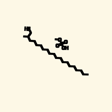 CCCCCCCCCCCCCCCCCCC(C)CS.COS(=O)(=O)O